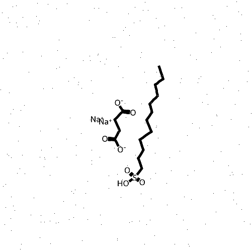 CCCCCCCCCCCCS(=O)(=O)O.O=C([O-])CCC(=O)[O-].[Na+].[Na+]